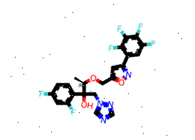 C[C@@H](OCc1cc(-c2cc(F)c(F)c(F)c2F)no1)C(O)(Cn1cncn1)c1ccc(F)cc1F